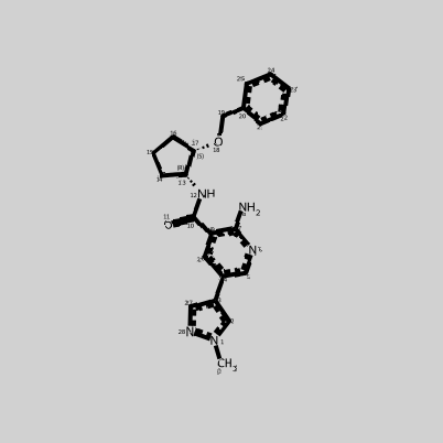 Cn1cc(-c2cnc(N)c(C(=O)N[C@@H]3CCC[C@@H]3OCc3ccccc3)c2)cn1